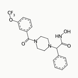 O=C(NO)C(c1ccccc1)N1CCN(C(=O)c2cccc(OC(F)(F)F)c2)CC1